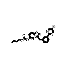 CCCCOC(=O)Oc1ccc2nnc(Cc3cccc(-c4ncc(Br)cn4)c3)n2n1